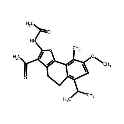 COc1cc(C(C)C)c2c(c1C)-c1sc(NC(C)=O)c(C(N)=O)c1CC2